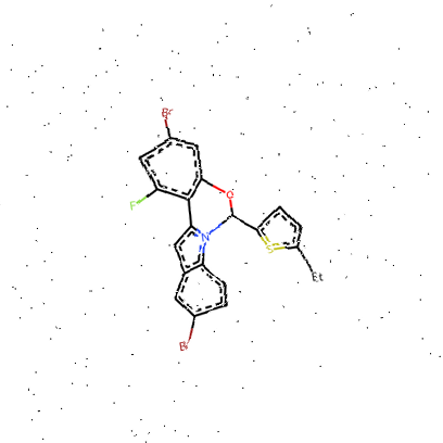 CCc1ccc(C2Oc3cc(Br)cc(F)c3-c3cc4cc(Br)ccc4n32)s1